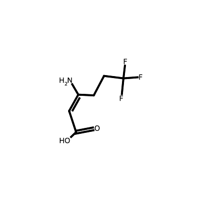 N/C(=C/C(=O)O)CCC(F)(F)F